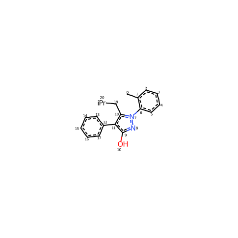 Cc1ccccc1-n1nc(O)c(-c2ccccc2)c1CC(C)C